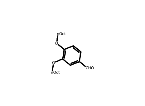 CCCCCCCCOc1ccc(C=O)cc1OCCCCCCCC